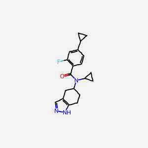 O=C(c1ccc(C2CC2)cc1F)N(C1CC1)C1CCc2[nH]ncc2C1